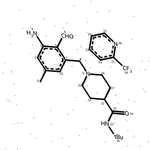 Cc1cc(N)c(C=O)c(CN2CCC(C(=O)NC(C)(C)C)CC2)c1.FC(F)(F)c1ccccn1